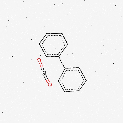 O=[Si]=O.c1ccc(-c2ccccc2)cc1